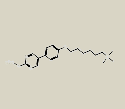 CCCCCCCCOc1ncc(-c2ccc(OCCCCCC[Si](C)(C)C)cc2)cn1